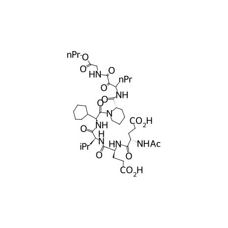 CCCOC(=O)CNC(=O)C(=O)C(CCC)NC(=O)[C@@H]1CCCCN1C(=O)[C@@H](NC(=O)[C@@H](NC(=O)[C@H](CCC(=O)O)NC(=O)[C@H](CCC(=O)O)NC(C)=O)C(C)C)C1CCCCC1